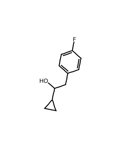 OC(Cc1ccc(F)cc1)C1CC1